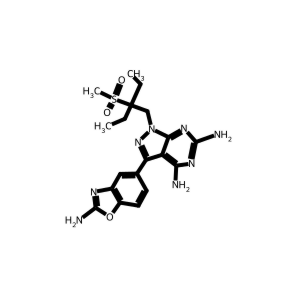 CCC(CC)(Cn1nc(-c2ccc3oc(N)nc3c2)c2c(N)nc(N)nc21)S(C)(=O)=O